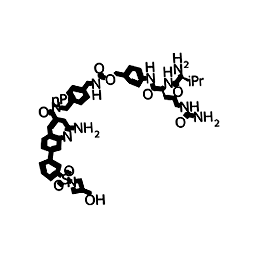 CCCN(Cc1ccc(CNC(=O)OCc2ccc(NC(=O)[C@H](CCCNC(N)=O)NC(=O)[C@@H](N)C(C)C)cc2)cc1)C(=O)C1=Cc2ccc(-c3cccc(S(=O)(=O)N4CC(CO)C4)c3)cc2N=C(N)C1